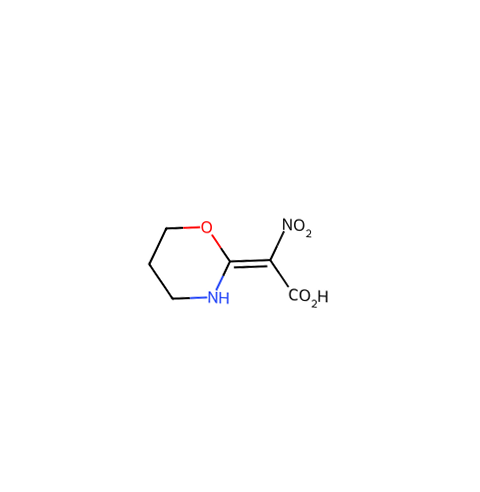 O=C(O)C(=C1NCCCO1)[N+](=O)[O-]